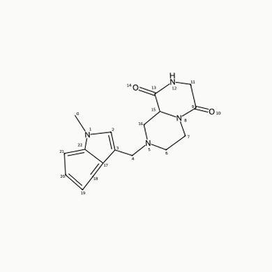 Cn1cc(CN2CCN3C(=O)CNC(=O)C3C2)c2ccccc21